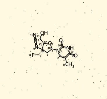 Cc1cn([C@H]2C[C@@](CF)(N=[N+]=[N-])[C@@H](CO)O2)c(=O)[nH]c1=O